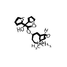 C[N+]1(C)CC[C@H](OC(=O)C(O)(c2cccs2)c2cccs2)CC2[C@H]3OC3[C@H]21